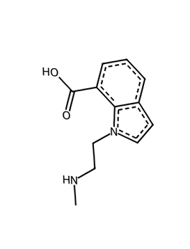 CNCCn1ccc2cccc(C(=O)O)c21